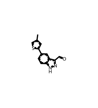 Cc1csc(-c2ccc3[nH]nc(C=O)c3c2)c1